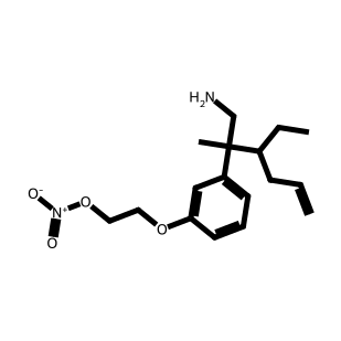 C=CCC(CC)C(C)(CN)c1cccc(OCCO[N+](=O)[O-])c1